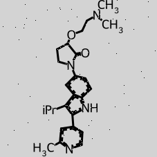 Cc1cc(-c2[nH]c3ccc(N4CCC(OCCN(C)C)C4=O)cc3c2C(C)C)ccn1